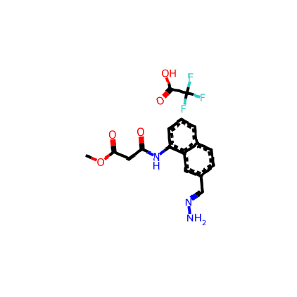 COC(=O)CC(=O)Nc1cccc2ccc(C=NN)cc12.O=C(O)C(F)(F)F